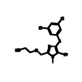 CC(C)c1c(Sc2cc(Cl)cc(Cl)c2)nc(COCCO)n1C